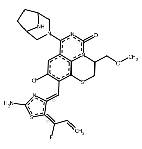 C=C/C(F)=c1/sc(N)n/c1=C\c1c(Cl)cc2c(N3CC4CCC(C3)N4)nc(=O)n3c2c1SCC3COC